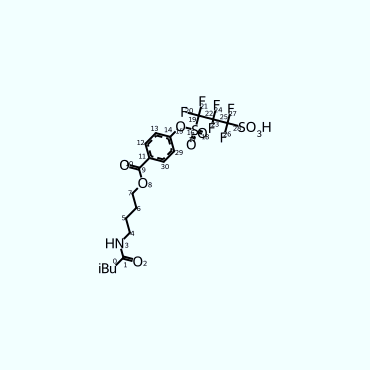 CCC(C)C(=O)NCCCCOC(=O)c1ccc(OS(=O)(=O)C(F)(F)C(F)(F)C(F)(F)S(=O)(=O)O)cc1